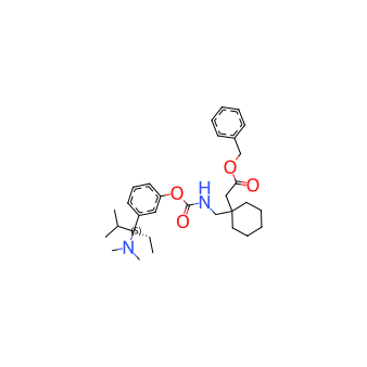 CC[C@@](c1cccc(OC(=O)NCC2(CC(=O)OCc3ccccc3)CCCCC2)c1)(C(C)C)N(C)C